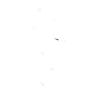 Nc1ccn([C@@H]2O[C@H](CO)C(I)[C@H]2O)c(=O)n1